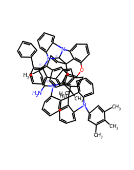 CC1=C(c2ccc(C(C)(C)C)cc2)\C=C\C23c4c(cccc4N4c5ccccc5N(c5c(-c6ccccc6)cccc5-c5ccccc5)C42)Oc2ccc4c(c23)N(\C(N)=C\1)c1ccccc1C41c2ccccc2N(c2cc(C)c(C)c(C)c2)c2ccccc21